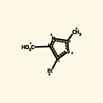 CCc1sc(C)nc1C(=O)O